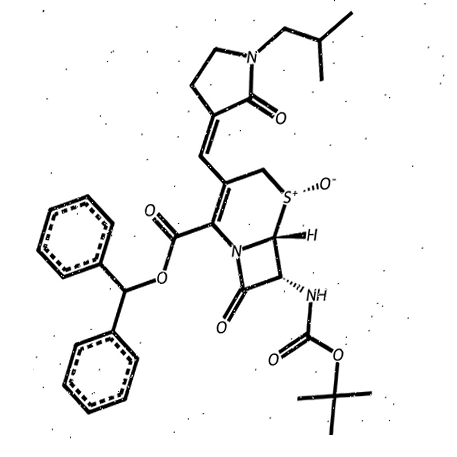 CC(C)CN1CCC(=CC2=C(C(=O)OC(c3ccccc3)c3ccccc3)N3C(=O)[C@@H](NC(=O)OC(C)(C)C)[C@H]3[S@@+]([O-])C2)C1=O